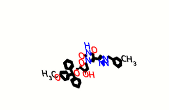 COc1ccc(C(OC[C@H]2O[C@@H](n3cc(-c4cn(Cc5cccc(C)c5)nn4)c(=O)[nH]c3=O)C[C@@H]2O)(c2ccccc2)c2ccccc2)cc1